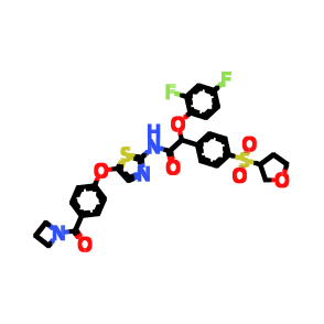 O=C(Nc1ncc(Oc2ccc(C(=O)N3CCC3)cc2)s1)C(Oc1ccc(F)cc1F)c1ccc(S(=O)(=O)C2CCOC2)cc1